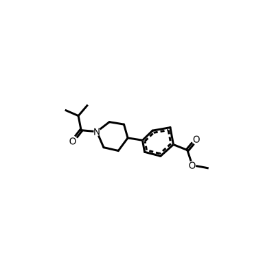 COC(=O)c1ccc(C2CCN(C(=O)C(C)C)CC2)cc1